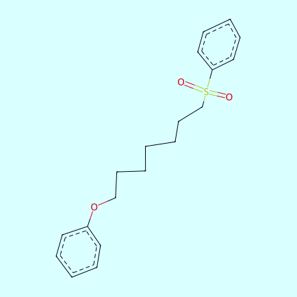 O=S(=O)(CCCCCCCOc1ccccc1)c1ccccc1